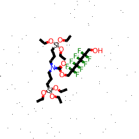 CCO[Si](CCCN(CCC[Si](OCC)(OCC)OCC)C(=O)OCC(F)(F)C(F)(F)C(F)(F)C(F)(F)CO)(OCC)OCC